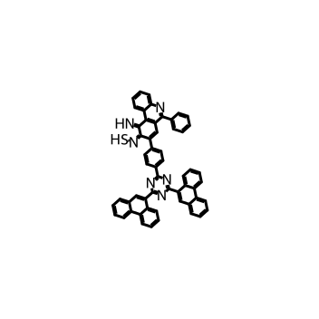 N=C1/C(=N\S)C(c2ccc(-c3nc(-c4cc5ccccc5c5ccccc45)nc(-c4cc5ccccc5c5ccccc45)n3)cc2)=Cc2c(-c3ccccc3)nc3ccccc3c21